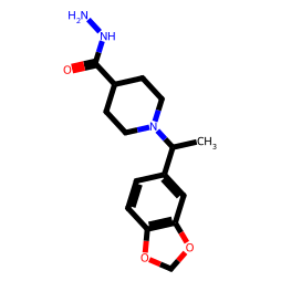 CC(c1ccc2c(c1)OCO2)N1CCC(C(=O)NN)CC1